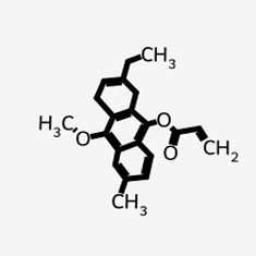 C=CC(=O)Oc1c2c(c(OC)c3cc(C)ccc13)CC=C(CC)C2